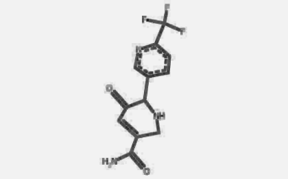 NC(=O)C1=CC(=O)C(c2ccc(C(F)(F)F)nc2)NC1